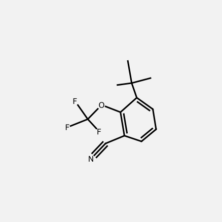 CC(C)(C)c1cccc(C#N)c1OC(F)(F)F